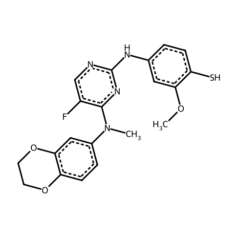 COc1cc(Nc2ncc(F)c(N(C)c3ccc4c(c3)OCCO4)n2)ccc1S